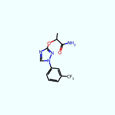 CC(Oc1ncn(-c2cccc(C(F)(F)F)c2)n1)C(N)=O